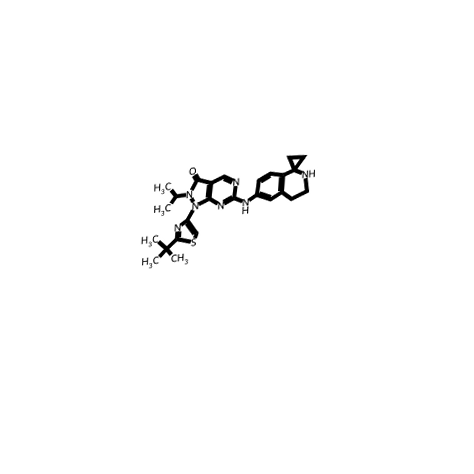 CC(C)n1c(=O)c2cnc(Nc3ccc4c(c3)CCNC43CC3)nc2n1-c1csc(C(C)(C)C)n1